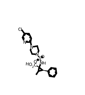 CC1[C@H](c2ccccc2)[C@]1(NS(=O)(=O)N1CCN(c2ccc(Cl)cn2)CC1)C(=O)O